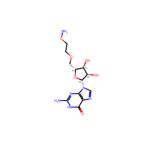 NOCCOC[C@H]1O[C@@H](n2cnc3c(=O)[nH]c(N)nc32)[C@H](O)[C@@H]1O